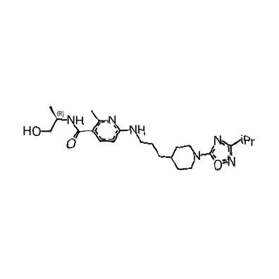 Cc1nc(NCCCC2CCN(c3nc(C(C)C)no3)CC2)ccc1C(=O)N[C@H](C)CO